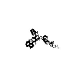 COC(=O)NCC1CCC2(COc3nc(N4CC5CCC(C4)N5)c4cnc(-c5cccc6cccc(Cl)c56)c(F)c4n3)CCCN12